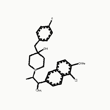 COc1ccc2cc(C(O)C(C)N3CCC(O)(Cc4ccc(F)cc4)CC3)ccc2c1Cl